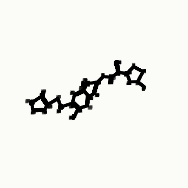 CC1CCN(C(=O)NCc2cc3cc(F)c(OCc4ccon4)cc3[nH]2)C1